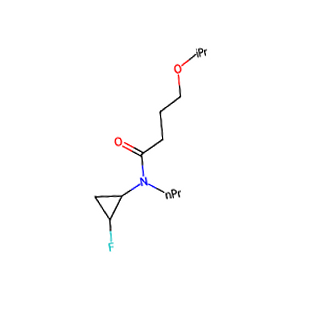 CCCN(C(=O)CCCOC(C)C)C1CC1F